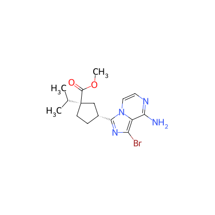 COC(=O)[C@]1(C(C)C)CC[C@@H](c2nc(Br)c3c(N)nccn23)C1